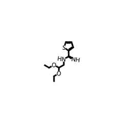 CCOC(CNC(=N)c1cccs1)OCC